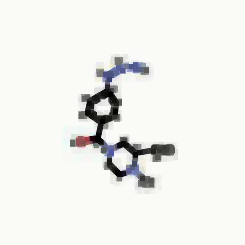 CCN1CCN(C(=O)c2ccc(N=[N+]=[N-])cc2)CC1C=O